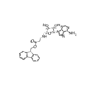 Nc1ncnc2c1ncn2[C@@H]1O[C@H](CNCCC(=O)OCC2c3ccccc3-c3ccccc32)[C@@H](O)[C@H]1O